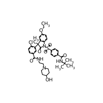 CCOc1ccc2c(c1)C(C)(c1cc(C(=O)NCCN3CCC(O)CC3)ccc1Cl)C(=O)N2S(=O)(=O)c1ccc(C(=O)NC(C)(C)C)cc1